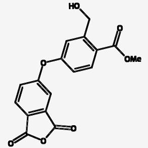 COC(=O)c1ccc(Oc2ccc3c(c2)C(=O)OC3=O)cc1CO